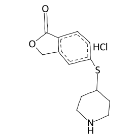 Cl.O=C1OCc2cc(SC3CCNCC3)ccc21